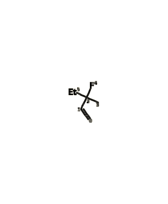 C=CC(C)(F)CC